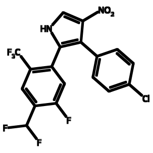 O=[N+]([O-])c1c[nH]c(-c2cc(F)c(C(F)F)cc2C(F)(F)F)c1-c1ccc(Cl)cc1